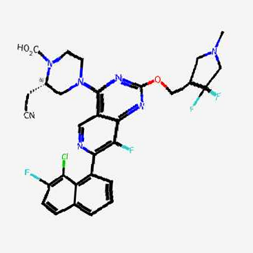 CN1CC(COc2nc(N3CCN(C(=O)O)[C@@H](CC#N)C3)c3cnc(-c4cccc5ccc(F)c(Cl)c45)c(F)c3n2)C(F)(F)C1